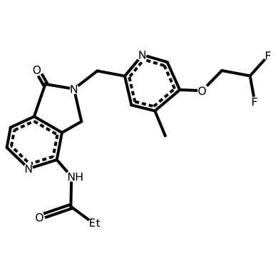 CCC(=O)Nc1nccc2c1CN(Cc1cc(C)c(OCC(F)F)cn1)C2=O